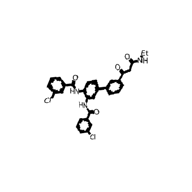 CCNC(=O)CC(=O)c1cccc(-c2ccc(NC(=O)c3cccc(Cl)c3)c(NC(=O)c3cccc(Cl)c3)c2)c1